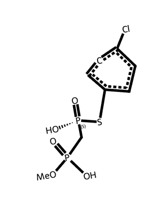 COP(=O)(O)C[P@](=O)(O)Sc1ccc(Cl)cc1